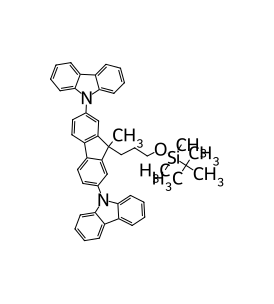 CC1(CCCO[Si](C)(C)C(C)(C)C)c2cc(-n3c4ccccc4c4ccccc43)ccc2-c2ccc(-n3c4ccccc4c4ccccc43)cc21